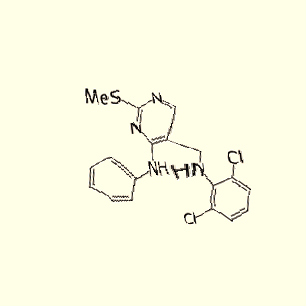 CSc1ncc(CNc2c(Cl)cccc2Cl)c(Nc2ccccc2)n1